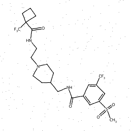 CS(=O)(=O)c1cc(C(=O)NCC2CCN(CCNC(=O)C3(C(F)(F)F)CCC3)CC2)cc(C(F)(F)F)c1